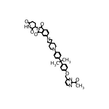 CC(=O)c1nccc(COc2ccc(C(C)(C)c3ccc(N4CCC5(CC4)CN(c4ccc6c(c4)C(=O)N(C4CCC(=O)NC4=O)C6=O)C5)cc3)cc2)n1